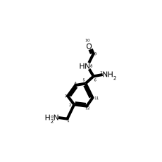 NCc1ccc(C(N)NC=O)cc1